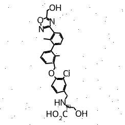 Cc1c(COc2ccc(CN[C@H](CO)C(=O)O)cc2Cl)cccc1-c1cccc(-c2noc(CO)n2)c1C